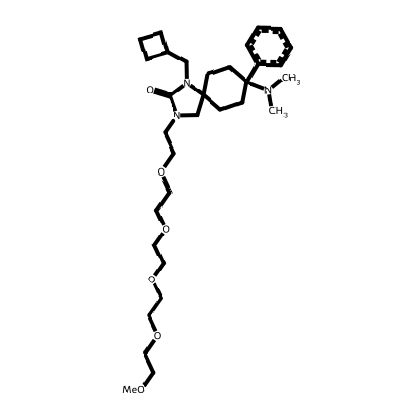 COCCOCCOCCOCCOCCN1CC2(CCC(c3ccccc3)(N(C)C)CC2)N(CC2CCC2)C1=O